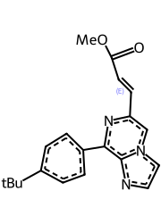 COC(=O)/C=C/c1cn2ccnc2c(-c2ccc(C(C)(C)C)cc2)n1